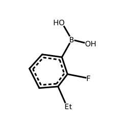 CCc1cccc(B(O)O)c1F